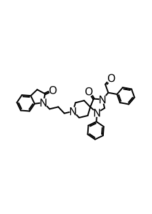 O=CC(c1ccccc1)N1CN(c2ccccc2)C2(CCN(CCCN3C(=O)Cc4ccccc43)CC2)C1=O